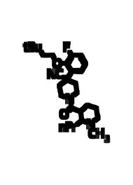 CCCC1C(C(=O)N2CCC(C#N)(c3cccc(F)c3OCCC(C)(C)C)CC2)CCCN1C